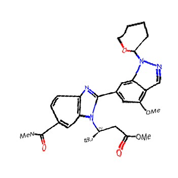 CNC(=O)c1ccc2nc(-c3cc(OC)c4cnn(C5CCCCO5)c4c3)n([C@@H](CC(=O)OC)C(C)(C)C)c2c1